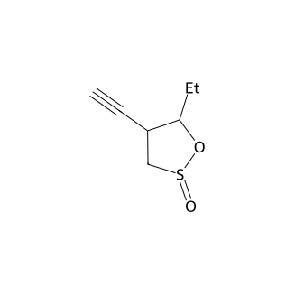 C#CC1CS(=O)OC1CC